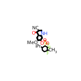 COc1cc2c(=O)c(C#N)c[nH]c2cc1OS(=O)(=O)C1C(C(C)C)CCC(C)(F)C1(F)F